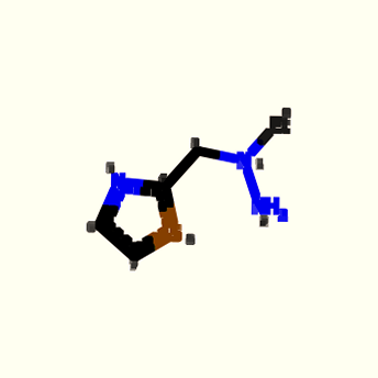 CCN(N)Cc1nccs1